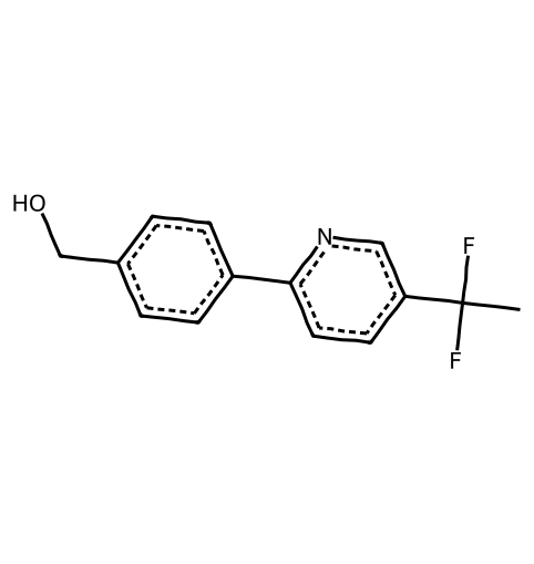 CC(F)(F)c1ccc(-c2ccc(CO)cc2)nc1